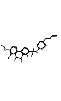 C=CCCc1ccc(OC(F)(F)c2ccc3c(c2F)C(F)C(F)c2c-3ccc(OCC)c2F)cc1